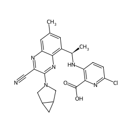 Cc1cc([C@@H](C)Nc2ccc(Cl)nc2C(=O)O)c2nc(N3CC4CC4C3)c(C#N)nc2c1